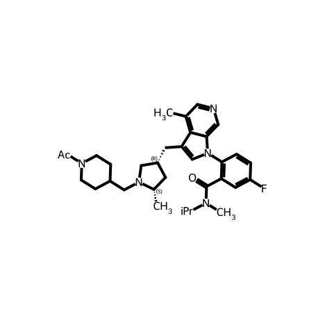 CC(=O)N1CCC(CN2C[C@H](Cc3cn(-c4ccc(F)cc4C(=O)N(C)C(C)C)c4cncc(C)c34)C[C@@H]2C)CC1